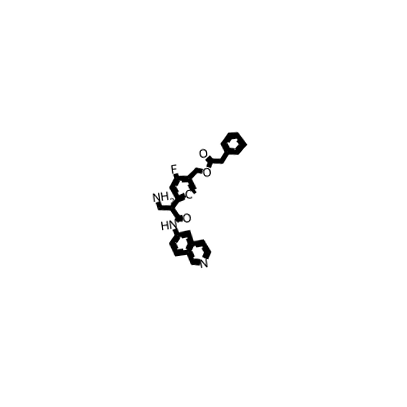 NCC(C(=O)Nc1ccc2cnccc2c1)c1ccc(COC(=O)Cc2ccccc2)c(F)c1